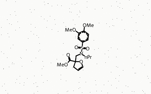 CCCN(CC1(C(=O)OC)CC=CO1)S(=O)(=O)c1ccc(OC)c(OC)c1